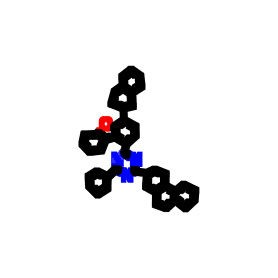 c1ccc(-c2nc(-c3ccc4c(ccc5ccccc54)c3)nc(-c3ccc(-c4ccc5ccccc5c4)c4oc5ccccc5c34)n2)cc1